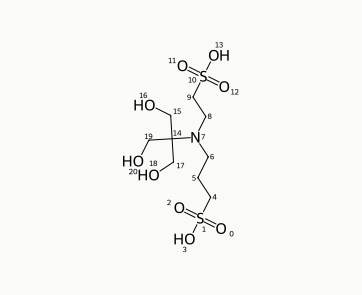 O=S(=O)(O)CCCN(CCS(=O)(=O)O)C(CO)(CO)CO